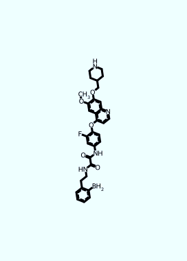 Bc1ccccc1CCNC(=O)C(=O)Nc1ccc(Oc2ccnc3cc(OCC4CCNCC4)c(OC)cc23)c(F)c1